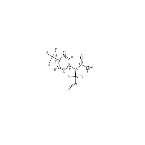 C=CC(C)(C)[C@H](C(=O)O)c1cnc(C(C)(C)C)nc1